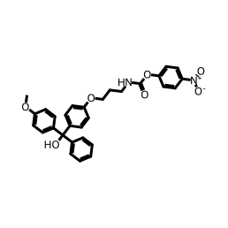 COc1ccc(C(O)(c2ccccc2)c2ccc(OCCCNC(=O)Oc3ccc([N+](=O)[O-])cc3)cc2)cc1